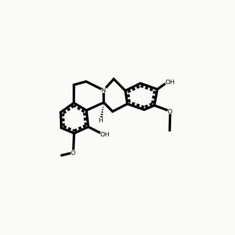 COc1cc2c(cc1O)CN1CCc3ccc(OC)c(O)c3[C@@H]1C2